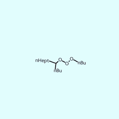 CCCCCCCC(CCCC)OOOCCCC